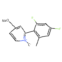 [CH2-][n+]1ccc(OC)cc1-c1c(C)cc(F)cc1F